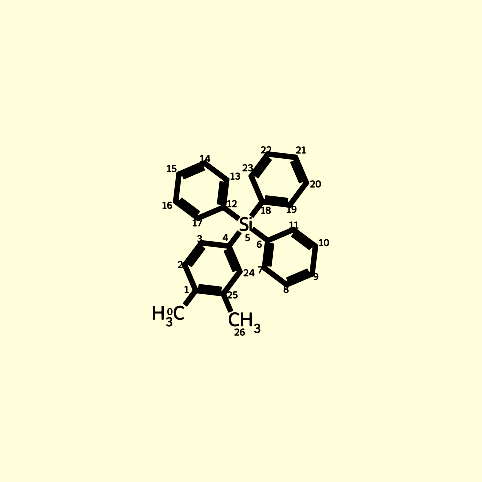 Cc1ccc([Si](c2ccccc2)(c2ccccc2)c2ccccc2)cc1C